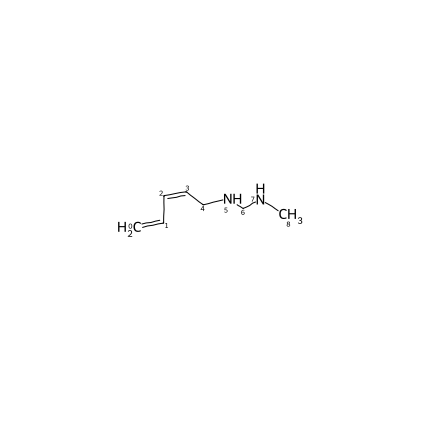 C=C/C=C\CNCNC